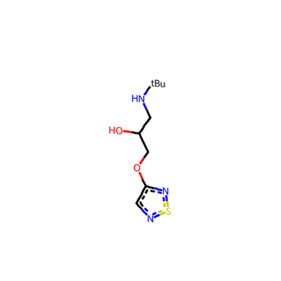 CC(C)(C)NCC(O)COc1cnsn1